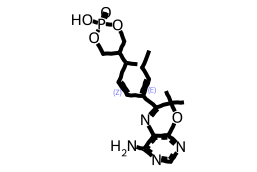 CC/C=C(\C=C/C(C)C1COP(=O)(O)OC1)C1=Nc2c(N)ncnc2OC1(C)C